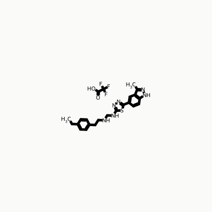 CCc1ccc(CCNCNc2nnc(-c3ccc4[nH]nc(C)c4c3)s2)cc1.O=C(O)C(F)(F)F